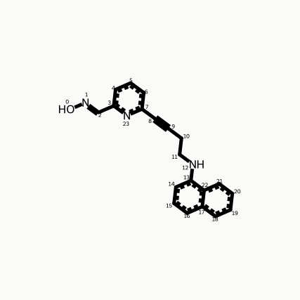 ON=Cc1cccc(C#CCCNc2cccc3ccccc23)n1